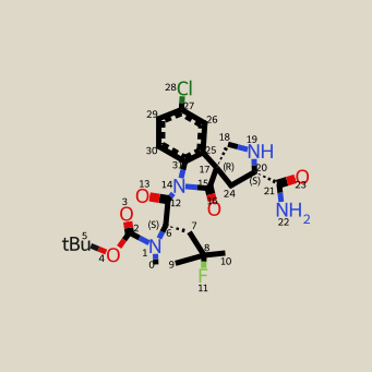 CN(C(=O)OC(C)(C)C)[C@@H](CC(C)(C)F)C(=O)N1C(=O)[C@@]2(CN[C@H](C(N)=O)C2)c2cc(Cl)ccc21